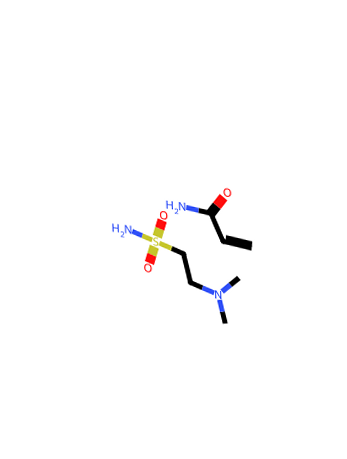 C=CC(N)=O.CN(C)CCS(N)(=O)=O